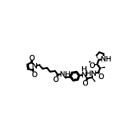 CO[C@@H]([C@@H]1CCCN1)[C@@H](C)C(=O)N[C@@H](C)C(=O)Nc1ccc(CNC(=O)CCCCCN2C(=O)C=CC2=O)cc1